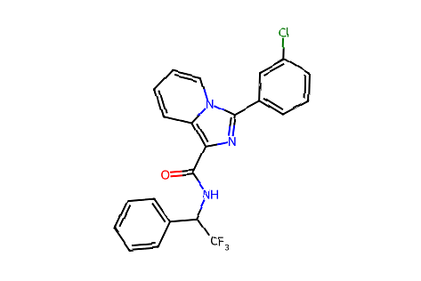 O=C(NC(c1ccccc1)C(F)(F)F)c1nc(-c2cccc(Cl)c2)n2ccccc12